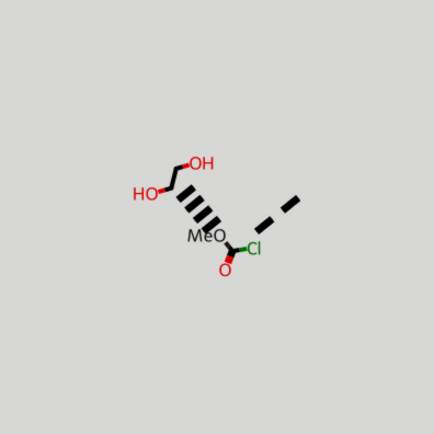 C=C.C=C.C=C.C=C.C=C.C=C.COC(=O)Cl.OCCO